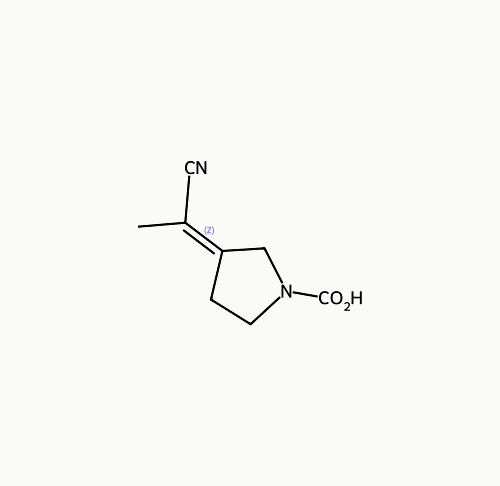 C/C(C#N)=C1\CCN(C(=O)O)C1